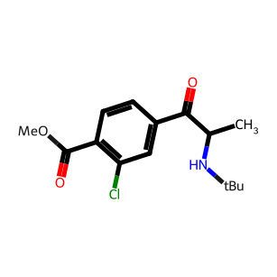 COC(=O)c1ccc(C(=O)C(C)NC(C)(C)C)cc1Cl